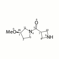 CO[C@@H]1CCN(C(=O)C2CNC2)C1